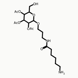 CC(=O)OC1C(CO)OC(OCCCNC(=O)CCCCCN)C(OC(C)=O)C1OC(C)=O